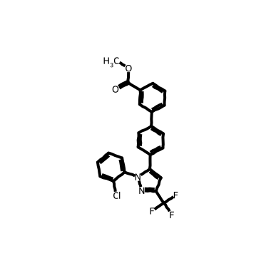 COC(=O)c1cccc(-c2ccc(-c3cc(C(F)(F)F)nn3-c3ccccc3Cl)cc2)c1